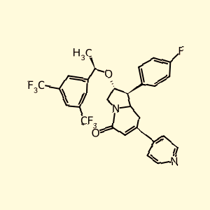 C[C@@H](O[C@H]1CN2C(=O)C=C(c3ccncc3)CC2[C@@H]1c1ccc(F)cc1)c1cc(C(F)(F)F)cc(C(F)(F)F)c1